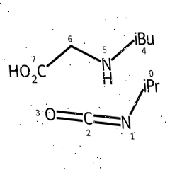 CC(C)N=C=O.CCC(C)NCC(=O)O